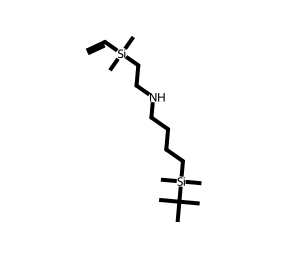 C=C[Si](C)(C)CCNCCCC[Si](C)(C)C(C)(C)C